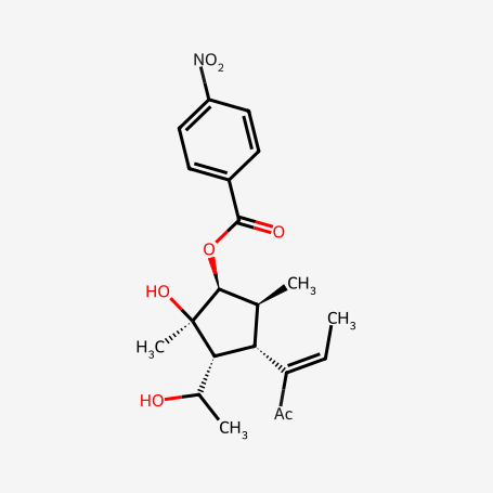 C/C=C(/C(C)=O)[C@H]1[C@H](C)[C@H](OC(=O)c2ccc([N+](=O)[O-])cc2)[C@](C)(O)[C@H]1C(C)O